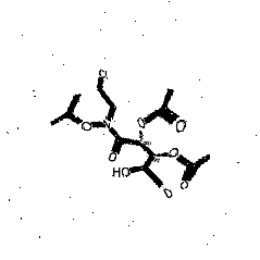 CC(=O)O[C@@H](C(=O)O)[C@@H](OC(C)=O)C(=O)N(CCCl)OC(C)C